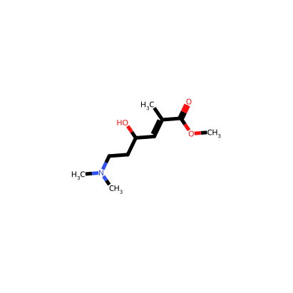 COC(=O)C(C)=CC(O)CCN(C)C